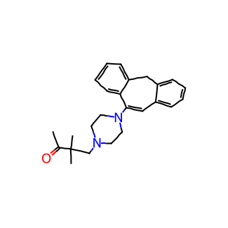 CC(=O)C(C)(C)CN1CCN(C2=Cc3ccccc3Cc3ccccc32)CC1